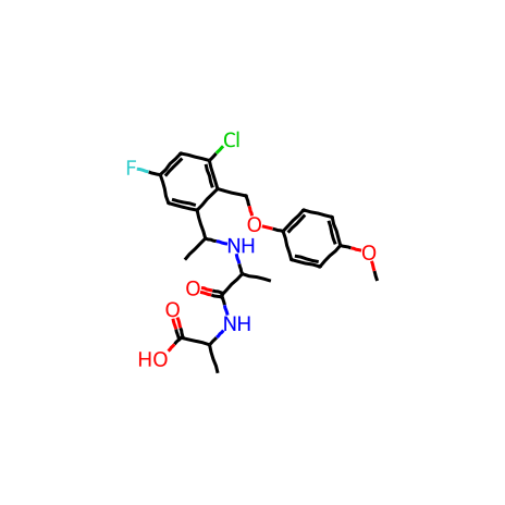 COc1ccc(OCc2c(Cl)cc(F)cc2C(C)NC(C)C(=O)NC(C)C(=O)O)cc1